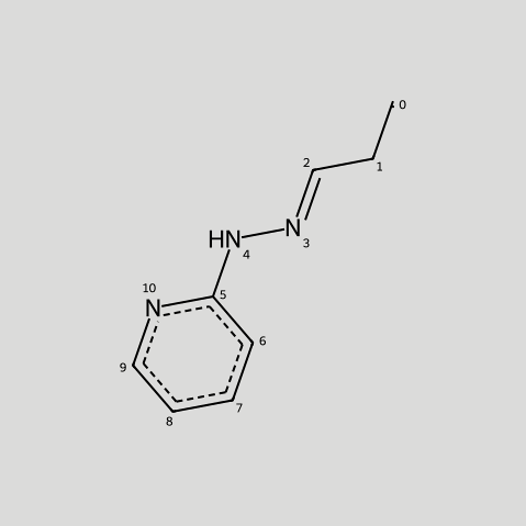 [CH2]CC=NNc1ccccn1